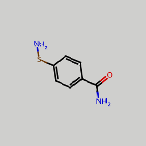 NSc1ccc(C(N)=O)cc1